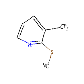 N#CSc1ncccc1C(F)(F)F